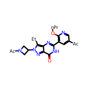 CCCOc1ncc(C(C)=O)cc1-c1nc2c(CC)n(C3CN(C(C)=O)C3)nc2c(=O)[nH]1